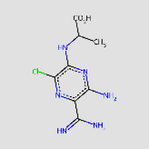 CC(Nc1nc(N)c(C(=N)N)nc1Cl)C(=O)O